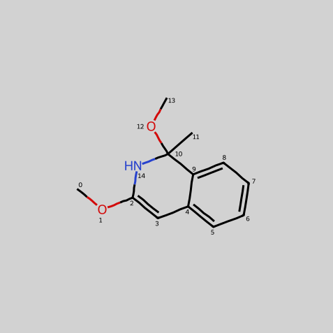 COC1=Cc2ccccc2C(C)(OC)N1